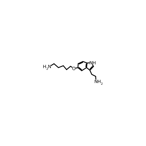 NCCCCCOc1ccc2[nH]cc(CCN)c2c1